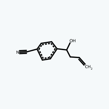 C=CCC(O)c1ccc(C#N)cc1